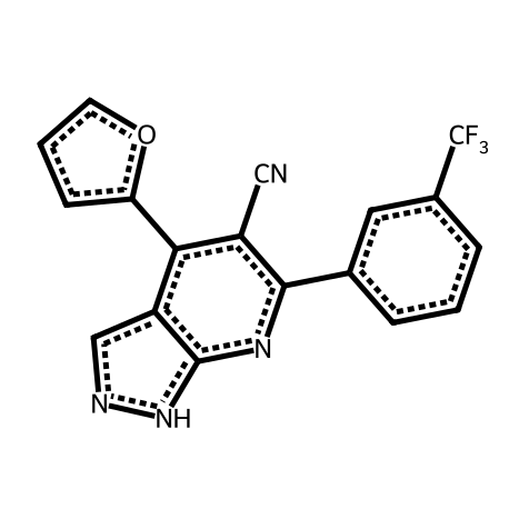 N#Cc1c(-c2cccc(C(F)(F)F)c2)nc2[nH]ncc2c1-c1ccco1